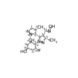 Cc1cnn(C)c1-c1c(C=NO)c(C)nn1-c1ccc(O)cc1F